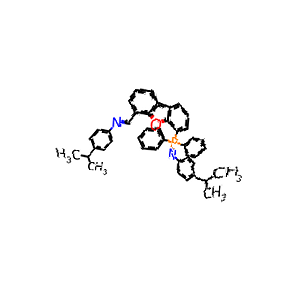 CC(C)c1ccc(N=P(c2ccccc2)(c2ccccc2)c2cccc3c2oc2c(/C=N/c4ccc(C(C)C)cc4)cccc23)cc1